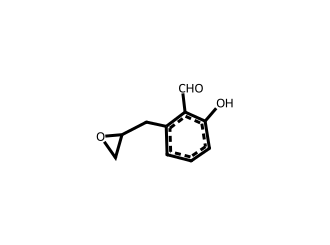 O=Cc1c(O)cccc1CC1CO1